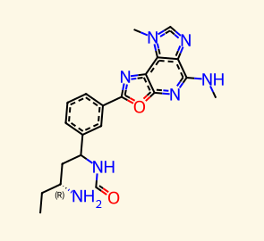 CC[C@@H](N)CC(NC=O)c1cccc(-c2nc3c(nc(NC)c4ncn(C)c43)o2)c1